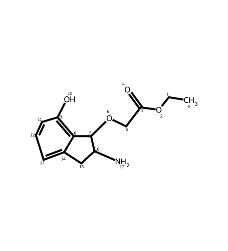 CCOC(=O)COC1c2c(O)cccc2CC1N